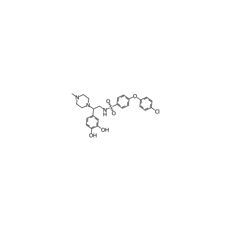 CN1CCN(C(CNS(=O)(=O)c2ccc(Oc3ccc(Cl)cc3)cc2)c2ccc(O)c(O)c2)CC1